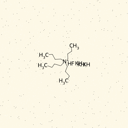 CCCC[N+](CCCC)(CCCC)CCCC.F.[KH].[KH].[KH]